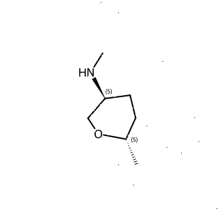 CN[C@H]1CC[C@H](C)OC1